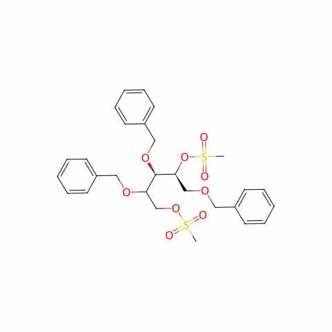 CS(=O)(=O)OCC(OCc1ccccc1)[C@@H](OCc1ccccc1)[C@H](COCc1ccccc1)OS(C)(=O)=O